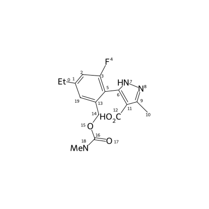 CCc1cc(F)c(-c2[nH]nc(C)c2C(=O)O)c(COC(=O)NC)c1